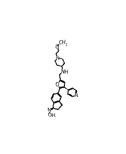 COCCN1CCC(NCc2cc(-c3ccncc3)c(-c3ccc4c(c3)CCC4=NO)o2)CC1